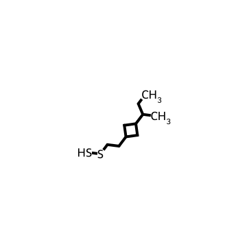 CCC(C)C1CC(CCSS)C1